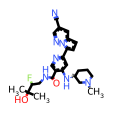 CN1CCC[C@@H](Nc2cc(-c3ccc4cc(C#N)cnn34)ncc2C(=O)NCC(F)C(C)(C)O)C1